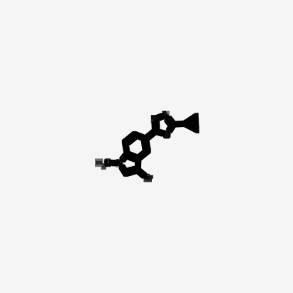 Cn1cc(Br)c2cc(-c3nnc(C4CC4)o3)ccc21